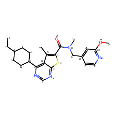 CCC1CCC(c2ncnc3sc(C(=O)N(C)Cc4ccnc(OC)c4)c(C)c23)CC1